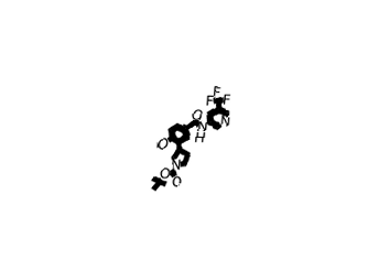 COc1ccc(C(=O)Nc2cncc(C(F)(F)F)c2)cc1C1CCN(C(=O)OC(C)(C)C)C1